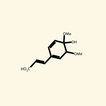 COC1C=C(C=CC(=O)O)C=CC1(O)OC